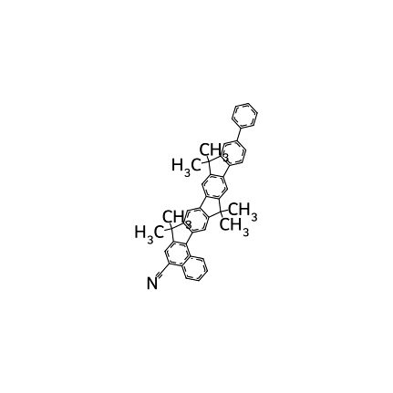 CC1(C)c2cc(-c3ccccc3)ccc2-c2cc3c(cc21)-c1cc2c(cc1C3(C)C)-c1c(cc(C#N)c3ccccc13)C2(C)C